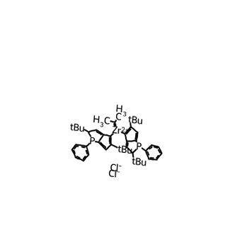 C[C](C)=[Zr+2]([C]1=C(C(C)(C)C)C=C2C1=CC(C(C)(C)C)P2c1ccccc1)[C]1=C(C(C)(C)C)C=C2C1=CC(C(C)(C)C)P2c1ccccc1.[Cl-].[Cl-]